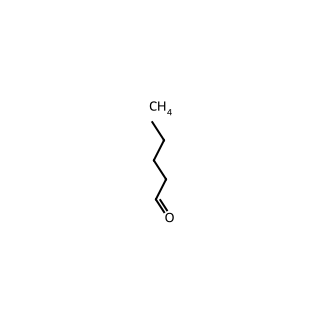 C.CCCCC=O